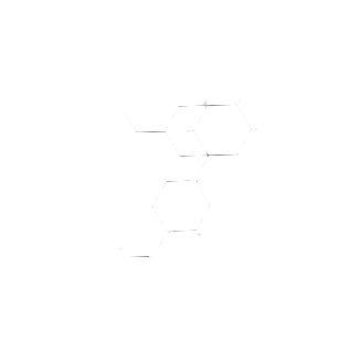 BBN1CCN(C23CCCC(CC(CC)C2)C3)CC1